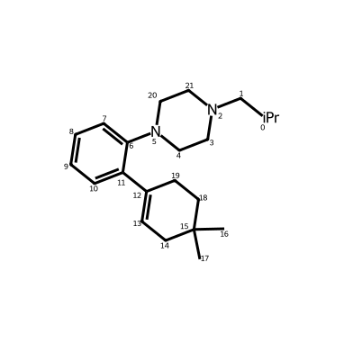 CC(C)CN1CCN(c2ccccc2C2=CCC(C)(C)CC2)CC1